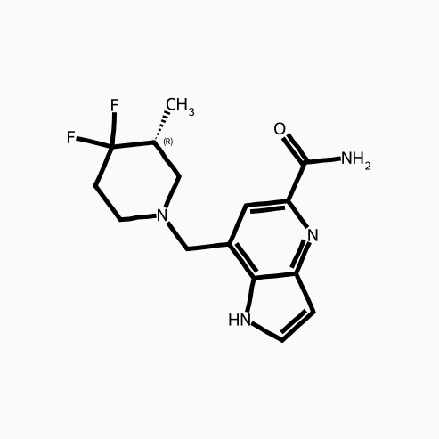 C[C@@H]1CN(Cc2cc(C(N)=O)nc3cc[nH]c23)CCC1(F)F